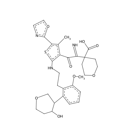 COc1cccc(C2COCCC2O)c1CCNc1sc(-c2ncco2)c(C)c1C(=O)C(=N)C1(C(=O)O)CCOCC1